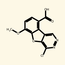 COc1ccc(C(=O)O)c2c1oc1c(Cl)nncc12